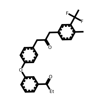 CCC(=O)c1cccc(Oc2ccc(CC(=O)Cc3ccc(C)c(C(C)(F)F)c3)cc2)c1